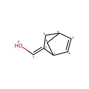 OC=C1CC2C=CC1C2